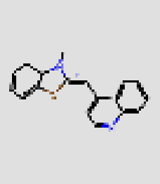 CN1/C(=C/c2ccnc3ccccc23)SC2=CC=CCC21